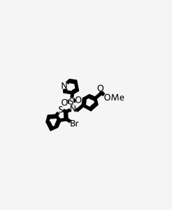 COC(=O)c1ccc(CN(c2sc3ccccc3c2Br)S(=O)(=O)c2cccnc2)cc1